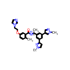 CCn1ccc(-c2cc(-c3cnn(C)c3)cc([C@@H](C)NC(=O)c3cc(OCCn4ccnc4)ccc3C)c2)n1